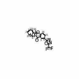 CN1C(=O)c2cc(-c3nnc(C(F)F)o3)ccc2OC1(C)c1ccccn1